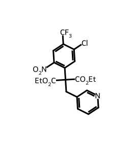 CCOC(=O)C(Cc1cccnc1)(C(=O)OCC)c1cc(Cl)c(C(F)(F)F)cc1[N+](=O)[O-]